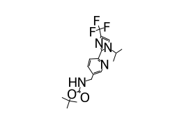 CC(C)n1cc(C(F)(F)F)nc1-c1ccc(CNC(=O)OC(C)(C)C)cn1